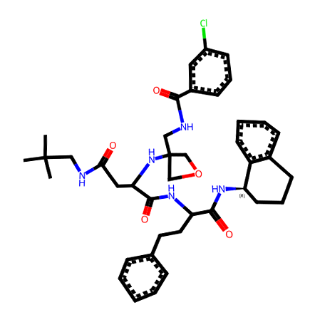 CC(C)(C)CNC(=O)CC(NC1(CNC(=O)c2cccc(Cl)c2)COC1)C(=O)NC(CCc1ccccc1)C(=O)N[C@@H]1CCCc2ccccc21